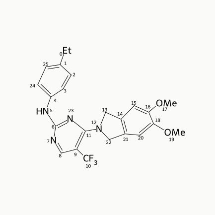 CCc1ccc(Nc2ncc(C(F)(F)F)c(N3Cc4cc(OC)c(OC)cc4C3)n2)cc1